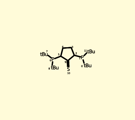 CC(C)(C)P(C1CCC(P(C(C)(C)C)C(C)(C)C)C1=S)C(C)(C)C